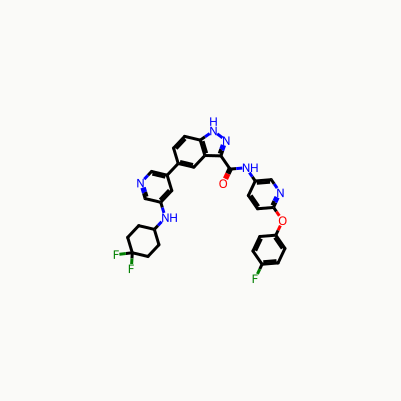 O=C(Nc1ccc(Oc2ccc(F)cc2)nc1)c1n[nH]c2ccc(-c3cncc(NC4CCC(F)(F)CC4)c3)cc12